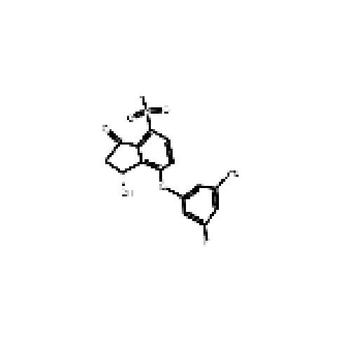 CS(=O)(=O)c1ccc(Oc2cc(F)cc(C#N)c2)c2c1C(=O)C[C@H]2O